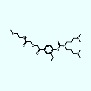 CCc1cc(C(=O)COCC(=O)NCCSC)ccc1OC(=O)N(CCCN(C)C)CCCN(C)C